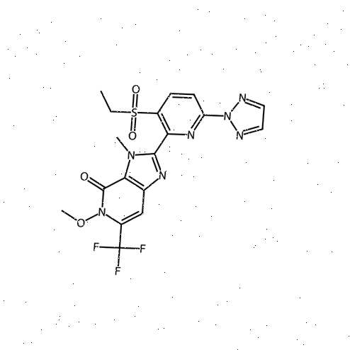 CCS(=O)(=O)c1ccc(-n2nccn2)nc1-c1nc2cc(C(F)(F)F)n(OC)c(=O)c2n1C